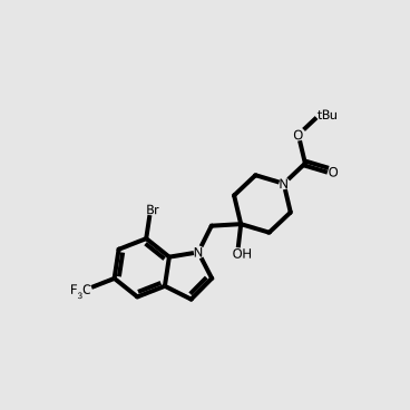 CC(C)(C)OC(=O)N1CCC(O)(Cn2ccc3cc(C(F)(F)F)cc(Br)c32)CC1